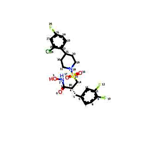 O=C(NO)[C@@H](Cc1ccc(F)c(F)c1)CS(=O)(=O)N1CCC(c2ccc(F)cc2Cl)CC1